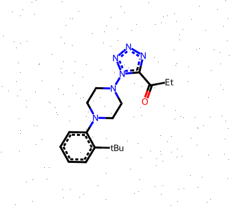 CCC(=O)c1nnnn1N1CCN(c2ccccc2C(C)(C)C)CC1